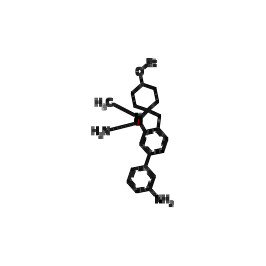 CCOC1CCC2(CC1)Cc1ccc(-c3cccc(N)c3)cc1C21N=C(N)N(C)O1